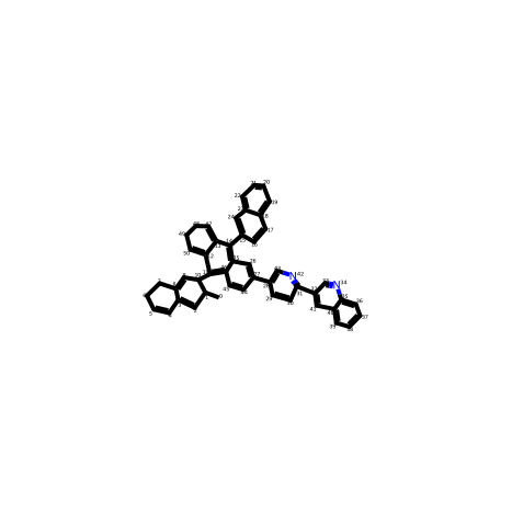 CC1C=C2C=CCCC2=CC1c1c2c(c(-c3ccc4ccccc4c3)c3cc(-c4ccc(-c5cnc6ccccc6c5)nc4)ccc13)=CCCC=2